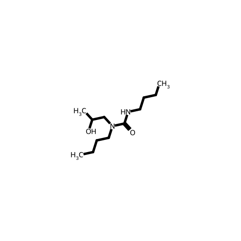 CCCCNC(=O)N(CCCC)CC(C)O